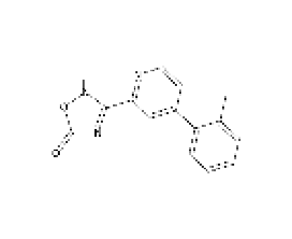 Cc1ccccc1-c1ccnc(-c2nc(=O)o[nH]2)c1